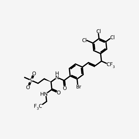 CS(=O)(=O)CC[C@@H](NC(=O)c1ccc(/C=C/C(c2cc(Cl)c(Cl)c(Cl)c2)C(F)(F)F)cc1Br)C(=O)NCC(F)(F)F